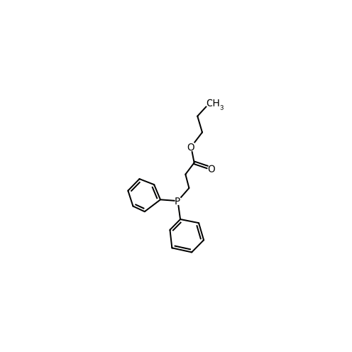 CCCOC(=O)CCP(c1ccccc1)c1ccccc1